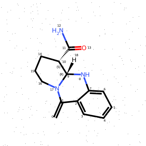 C=C1c2ccccc2N[C@H]2[C@@H](C(N)=O)CCCN12